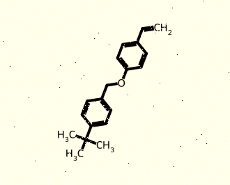 C=Cc1ccc(OCc2ccc(C(C)(C)C)cc2)cc1